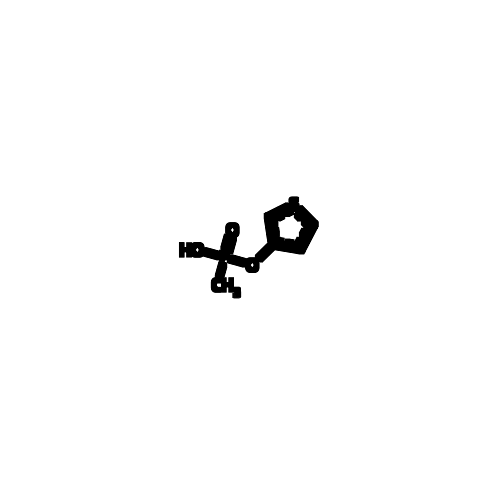 CP(=O)(O)Oc1ccsc1